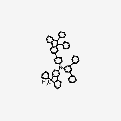 CC1(c2ccccc2)c2ccccc2-c2cc(N(c3ccc(-c4ccc5c(c4)c(-c4ccccc4)c(-c4ccccc4)c4ccccc45)cc3)c3cc(-c4ccccc4)cc(-c4ccccc4)c3)ccc21